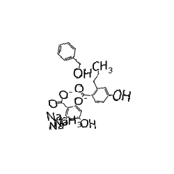 CCCc1cc(O)ccc1C(=O)[O-].O=C([O-])c1ccc(O)cc1.OCc1ccccc1.[CH3][Na].[Na+].[Na+]